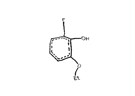 CCOc1cccc(F)c1O